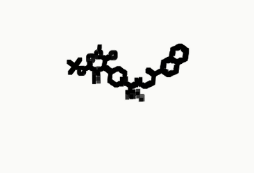 C=C(/C=C\N=C(/N)N1CCC(=C(NC(=O)OC(C)(C)C)C(=O)OC)CC1)c1ccc2ccccc2c1